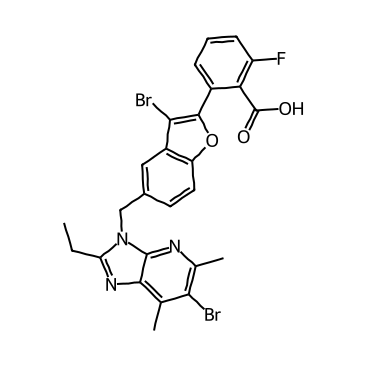 CCc1nc2c(C)c(Br)c(C)nc2n1Cc1ccc2oc(-c3cccc(F)c3C(=O)O)c(Br)c2c1